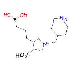 O=C(O)C1CN(CC2CCNCC2)CC1CCCB(O)O